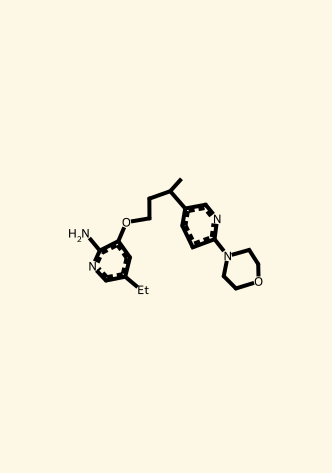 CCc1cnc(N)c(OCCC(C)c2ccc(N3CCOCC3)nc2)c1